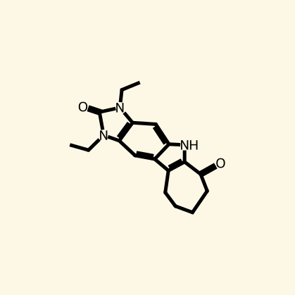 CCn1c(=O)n(CC)c2cc3c4c([nH]c3cc21)C(=O)CCCC4